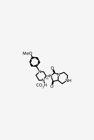 COc1ccc(N2CCN(C(=O)O)[C@H](N3C(=O)C4CNCCN4C3=O)C2)cc1